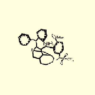 COc1ccc(N(C)S(=O)(=O)C(F)(F)F)cc1C(N)C1C2C3CCCCC2CN(C3)C1C(c1ccccc1)c1ccccc1